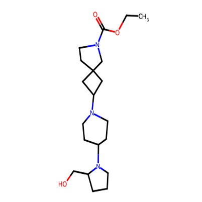 CCOC(=O)N1CCC2(CC(N3CCC(N4CCCC4CO)CC3)C2)C1